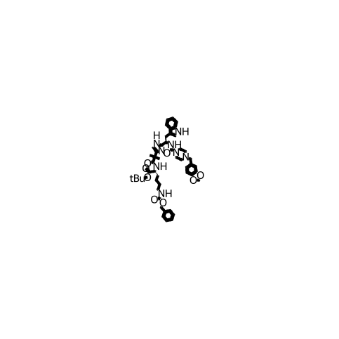 CC(C)(C)OC(=O)[C@@H](CCCCNC(=O)OCc1ccccc1)NC(=O)C(C)(C)c1c[nH]c([C@@H](Cc2c[nH]c3ccccc23)NC(=O)N2CCN(Cc3ccc4c(c3)OCO4)CC2)n1